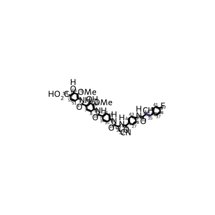 COc1c(NC(=O)c2ccc(NC(=O)c3ccc(NC(=O)[C@H](CC#N)NC(=O)c4ccc(NC(=O)/C(C)=C/c5ccc(F)cc5)cc4)cc3)c(OC)c2O)ccc(C(=O)O)c1O